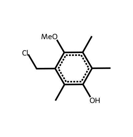 COc1c(C)c(C)c(O)c(C)c1CCl